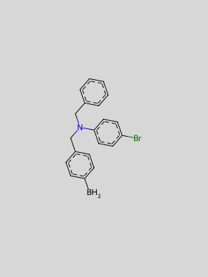 Bc1ccc(CN(Cc2ccccc2)c2ccc(Br)cc2)cc1